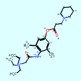 CC[N+](CC)(CC)CC(=O)Nc1c(C)cc(OC(=O)CCN2CCCCC2)cc1C